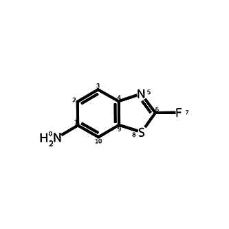 Nc1ccc2nc(F)sc2c1